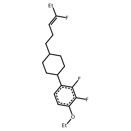 CCOc1ccc(C2CCC(CC/C=C(\F)CC)CC2)c(F)c1F